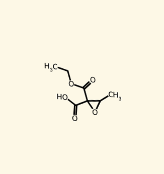 CCOC(=O)C1(C(=O)O)OC1C